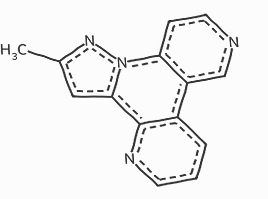 Cc1cc2c3ncccc3c3cnccc3n2n1